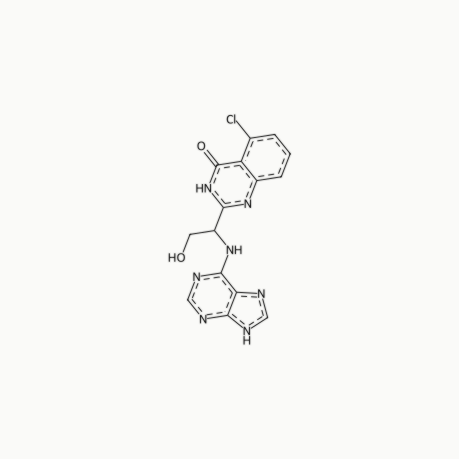 O=c1[nH]c(C(CO)Nc2ncnc3[nH]cnc23)nc2cccc(Cl)c12